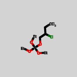 CCO[Si](OCC)(OCC)OCC(Cl)CC(Cl)(Cl)Cl